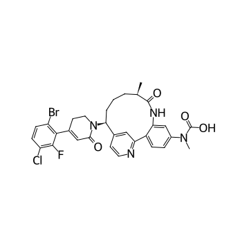 C[C@@H]1CCC[C@H](N2CCC(c3c(Br)ccc(Cl)c3F)=CC2=O)c2ccnc(c2)-c2ccc(N(C)C(=O)O)cc2NC1=O